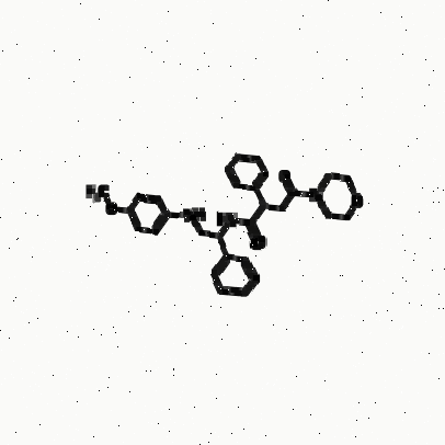 O=C(NC(CNc1ccc(OC(F)(F)F)cc1)c1ccccc1)C(CC(=O)N1CCOCC1)c1ccccc1